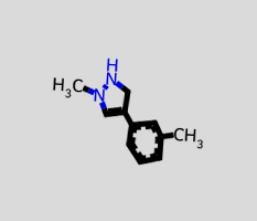 Cc1cccc(C2=CN(C)NC2)c1